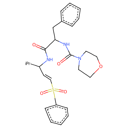 CC(C)C(C=CS(=O)(=O)c1ccccc1)NC(=O)C(Cc1ccccc1)NC(=O)N1CCOCC1